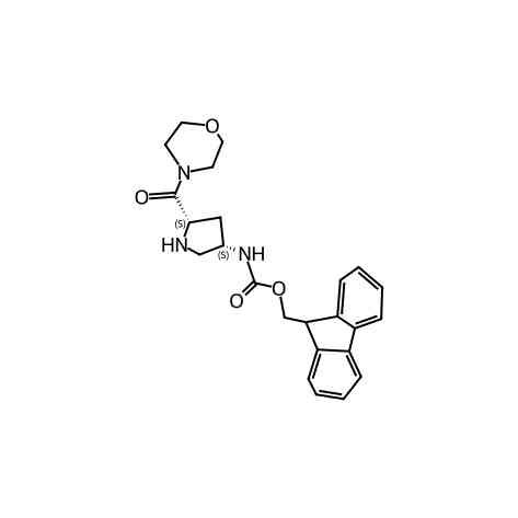 O=C(N[C@@H]1CN[C@H](C(=O)N2CCOCC2)C1)OCC1c2ccccc2-c2ccccc21